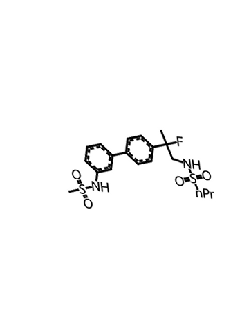 CCCS(=O)(=O)NCC(C)(F)c1ccc(-c2cccc(NS(C)(=O)=O)c2)cc1